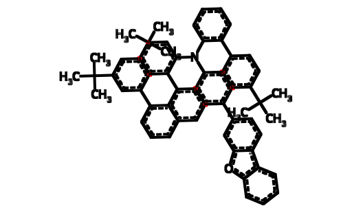 CC(C)(C)c1ccc(-c2ccccc2N(c2ccc(-c3ccc4c(c3)oc3ccccc34)cc2)c2ccccc2-c2cccc3cccc(-c4cc(C(C)(C)C)cc(C(C)(C)C)c4)c23)cc1